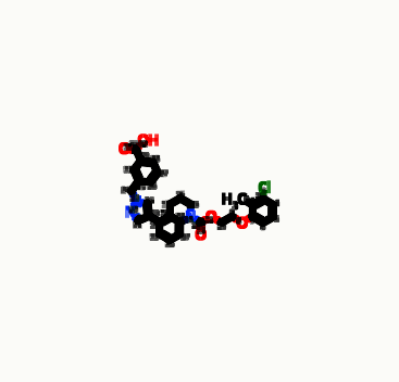 Cc1c(Cl)cccc1OCCOC(=O)N1CCCc2c(-c3cnn(Cc4cccc(C(=O)O)c4)c3)cccc21